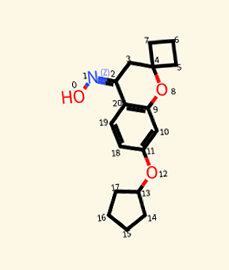 O/N=C1/CC2(CCC2)Oc2cc(OC3CCCC3)ccc21